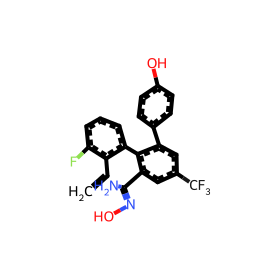 C=Cc1c(F)cccc1-c1c(C(N)=NO)cc(C(F)(F)F)cc1-c1ccc(O)cc1